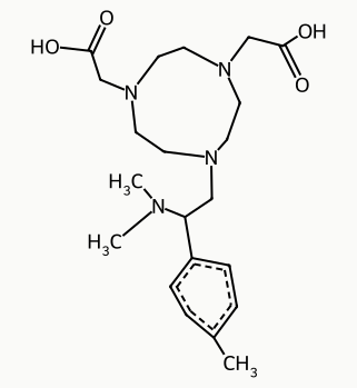 Cc1ccc(C(CN2CCN(CC(=O)O)CCN(CC(=O)O)CC2)N(C)C)cc1